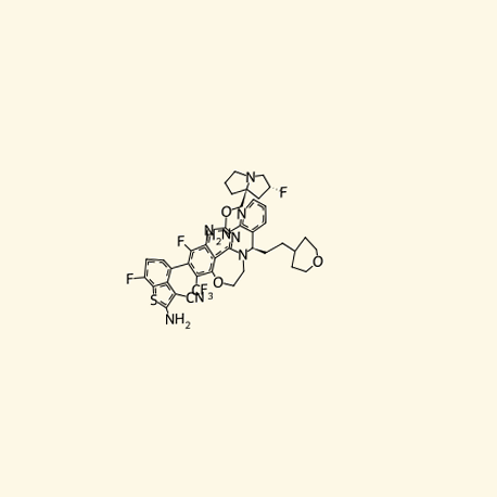 N#Cc1c(N)sc2c(F)ccc(-c3c(C(F)(F)F)c4c5c(nc(OC[C@@]67CCCN6C[C@H](F)C7)nc5c3F)N([C@H](CCC3CCOCC3)c3cccnc3N)CCO4)c12